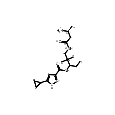 CCC(NC(=O)c1cc(C2CC2)on1)C(C)(C)CNC(=O)C[C@H](C)N